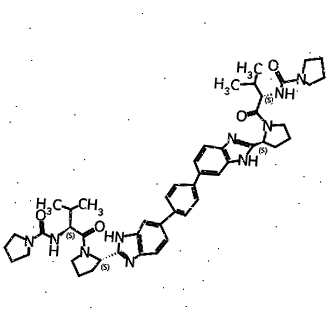 CC(C)[C@H](NC(=O)N1CCCC1)C(=O)N1CCC[C@H]1c1nc2ccc(-c3ccc(-c4ccc5nc([C@@H]6CCCN6C(=O)[C@@H](NC(=O)N6CCCC6)C(C)C)[nH]c5c4)cc3)cc2[nH]1